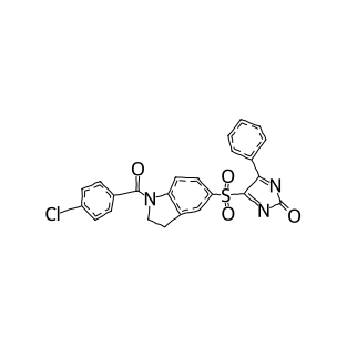 O=C1N=C(c2ccccc2)C(S(=O)(=O)c2ccc3c(c2)CCN3C(=O)c2ccc(Cl)cc2)=N1